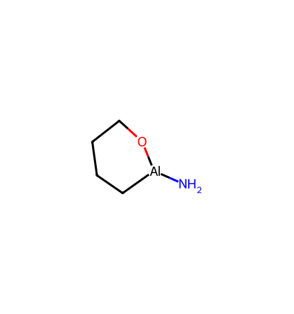 [NH2][Al]1[CH2]CCC[O]1